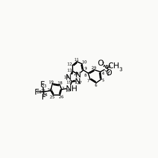 CS(=O)(=O)c1cccc(-c2cccc3nc(Nc4ccc(C(F)(F)F)cc4)nn23)c1